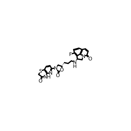 O=C1CSc2ccc(N3C[C@H](CCCN[C@@H]4Cn5c(=O)ccc6ccc(F)c4c65)OC3=O)nc2N1